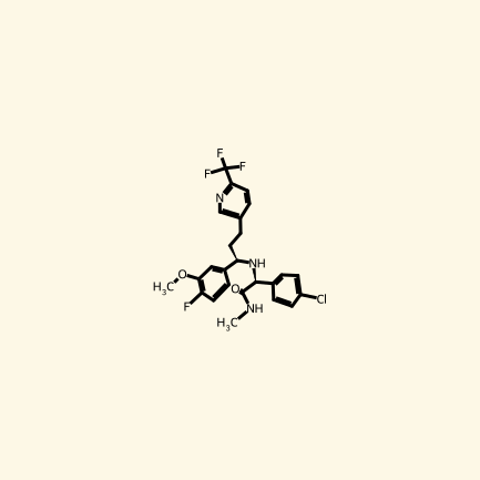 CNC(=O)[C@@H](N[C@H](CCc1ccc(C(F)(F)F)nc1)c1ccc(F)c(OC)c1)c1ccc(Cl)cc1